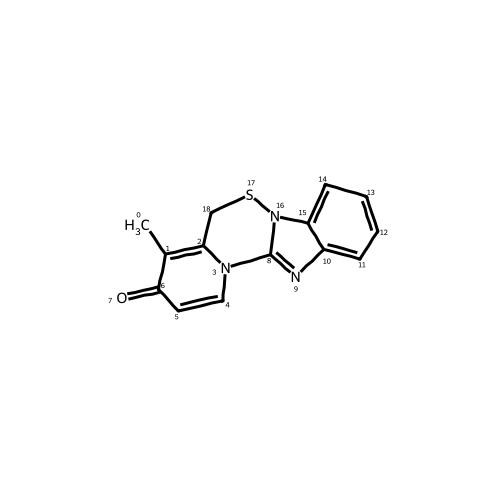 Cc1c2n(ccc1=O)-c1nc3ccccc3n1SC2